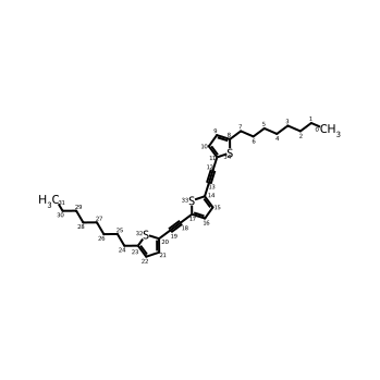 CCCCCCCCc1ccc(C#Cc2ccc(C#Cc3ccc(CCCCCCCC)s3)s2)s1